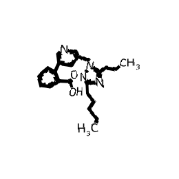 CCCCCc1nc(CCC)n(Cc2cncc(-c3ccccc3C(=O)O)c2)n1